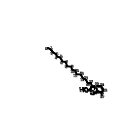 CCCCCCCCCCCCCCCCCCC(C(=O)O)[n+]1cccc(C)c1C